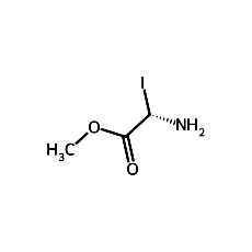 COC(=O)[C@@H](N)I